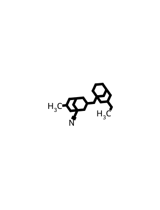 CCC1CC2CCCC(CC3CC4CC(C)CC(C#N)(C4)C3)(C1)C2